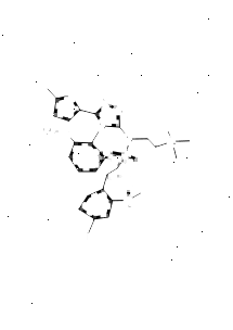 COc1cccc(OC)c1-n1c(-c2ccc(C)o2)nnc1N(CC[Si](C)(C)C)S(=O)(=O)[C@H](C)[C@@H](O)c1ccc(Cl)cc1S(C)(=O)=O